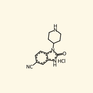 Cl.N#Cc1ccc2c(c1)[nH]c(=O)n2C1CCNCC1